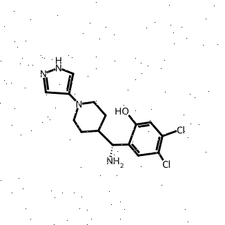 N[C@@H](c1cc(Cl)c(Cl)cc1O)C1CCN(c2cn[nH]c2)CC1